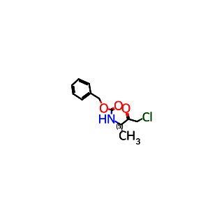 C[C@H](NC(=O)OCc1ccccc1)C(=O)CCl